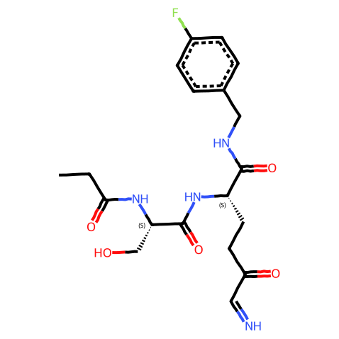 CCC(=O)N[C@@H](CO)C(=O)N[C@@H](CCC(=O)C=N)C(=O)NCc1ccc(F)cc1